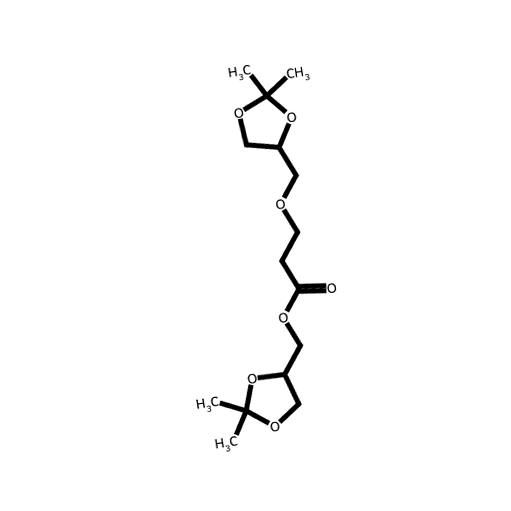 CC1(C)OCC(COCCC(=O)OCC2COC(C)(C)O2)O1